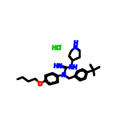 CCCCOc1ccc(N(Cc2ccc(C(C)(C)C)cc2)C(=N)NC2CCNCC2)cc1.Cl